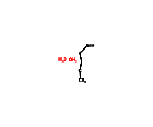 CCC[CH2][SnH].O.O